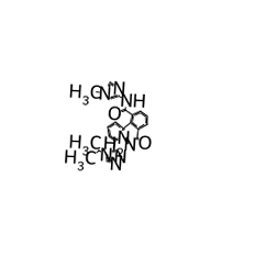 CC(C)n1cnnc1-c1cccc(-c2c(C(N)=O)cccc2C(=O)Nc2cn(C)cn2)n1